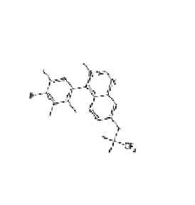 Cc1cc(-c2c3ccc(CC(C)(C)C(F)(F)F)cc3nc[n+]2C)c(C)c(C)c1F